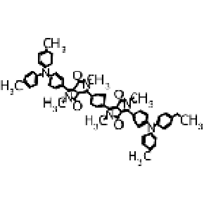 CCc1ccc(N(c2ccc(C)cc2)c2ccc(C3=C4C(=O)N(C)C(c5ccc(C6=C7C(=O)N(C)C(c8ccc(N(c9ccc(C)cc9)c9ccc(C)cc9)cc8)=C7C(=O)N6C)cc5)=C4C(=O)N3C)cc2)cc1